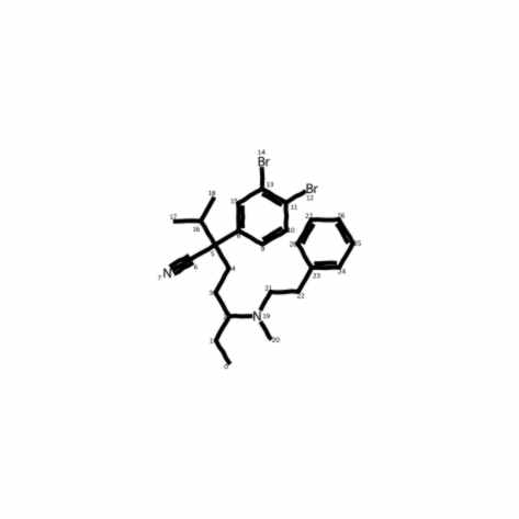 CCC(CCC(C#N)(c1ccc(Br)c(Br)c1)C(C)C)N(C)CCc1ccccc1